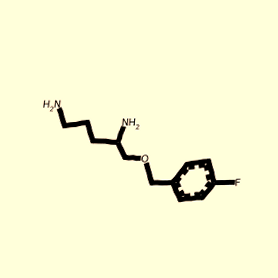 NCCCC(N)COCc1ccc(F)cc1